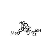 CCN(CCO)CCN1C(=O)N2C(c3cccc(O)c3)c3[nH]c4ccc(OC)cc4c3CC2(C)C1=O